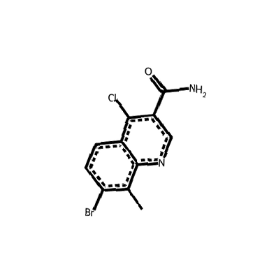 Cc1c(Br)ccc2c(Cl)c(C(N)=O)cnc12